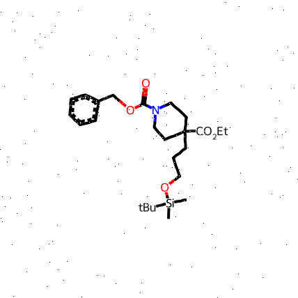 CCOC(=O)C1(CCCO[Si](C)(C)C(C)(C)C)CCN(C(=O)OCc2ccccc2)CC1